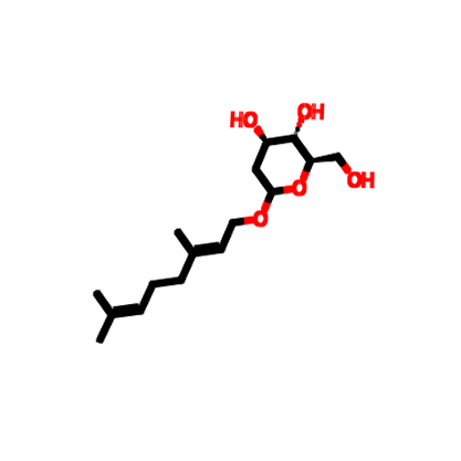 CC(C)=CCC/C(C)=C/COC1C[C@@H](O)[C@H](O)[C@@H](CO)O1